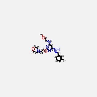 COCCN(C)c1cc(NN=Cc2cccc(C)c2)nc(OCCN2CCOCC2)n1